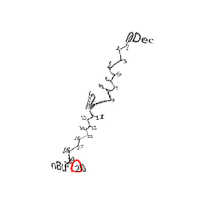 CCCCCCCCCCCCCCCCCCCCCCCCCCCCC(=O)CCCC